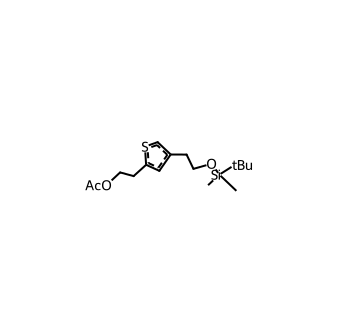 CC(=O)OCCc1cc(CCO[Si](C)(C)C(C)(C)C)cs1